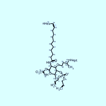 C=CCOP(=O)(OCC=C)OC1C(CC)OC(OC(=N)C(Cl)(Cl)Cl)C(NC(=O)CCCCCCCCC/C=C\CCCCCC)C1OCC[C@H](C)CCCCCCC